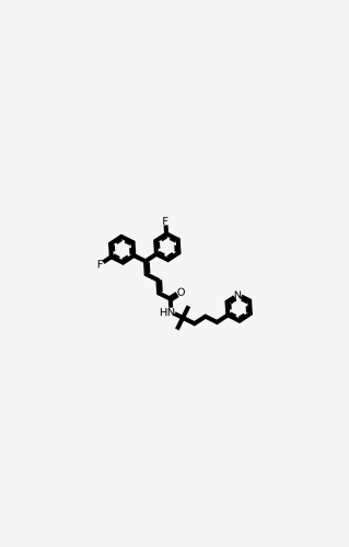 CC(C)(CCCc1cccnc1)NC(=O)/C=C/C=C(c1cccc(F)c1)c1cccc(F)c1